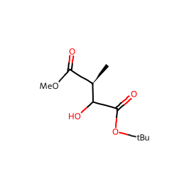 COC(=O)[C@@H](C)C(O)C(=O)OC(C)(C)C